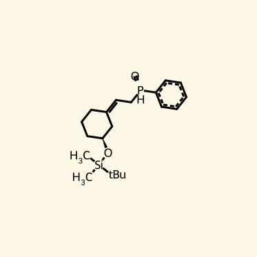 CC(C)(C)[Si](C)(C)O[C@H]1CCC/C(=C/C[PH](=O)c2ccccc2)C1